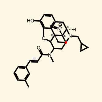 Cc1cccc(/C=C/C(=O)N(C)C2CC[C@@]3([N+](=O)[O-])[C@H]4Cc5ccc(O)c6c5[C@@]3(CCN4CC3CC3)C2O6)c1